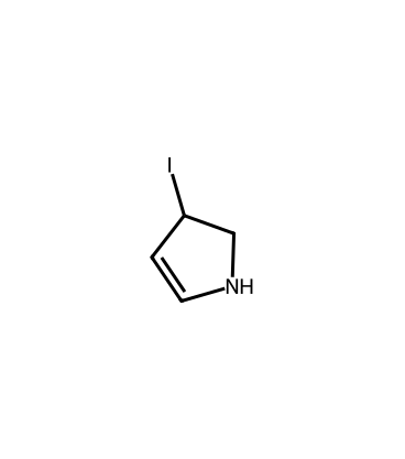 IC1C=CNC1